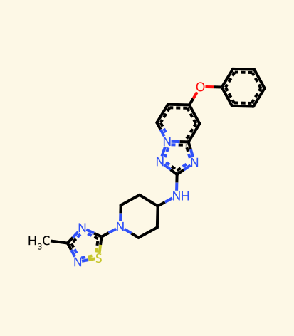 Cc1nsc(N2CCC(Nc3nc4cc(Oc5ccccc5)ccn4n3)CC2)n1